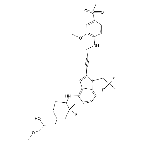 COCC(O)CC1CCC(Nc2cccc3c2cc(C#CCNc2ccc(S(C)(=O)=O)cc2OC)n3CC(F)(F)F)C(F)(F)C1